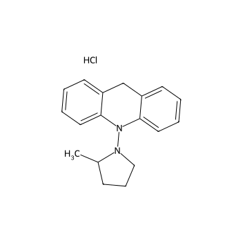 CC1CCCN1N1c2ccccc2Cc2ccccc21.Cl